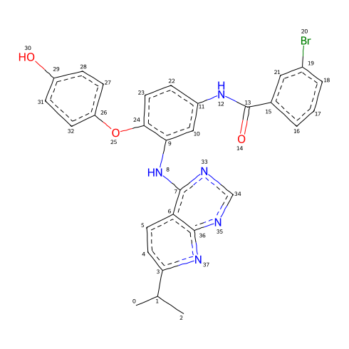 CC(C)c1ccc2c(Nc3cc(NC(=O)c4cccc(Br)c4)ccc3Oc3ccc(O)cc3)ncnc2n1